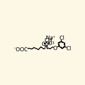 CS(=O)(=O)N(CCCCCCC(=O)[O-])CCOc1cc(Cl)cc(Cl)c1.[Na+]